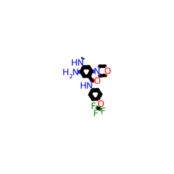 CNc1cc(N2CCOCC2)c(C(=O)Nc2ccc(OC(F)(F)F)cc2)cc1N